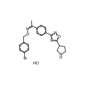 CC(=NOCc1ccc(Br)cc1)c1ccc(-c2noc(C3CCNC3)n2)cc1.Cl